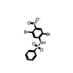 O=[N+]([O-])c1cc(Br)c(NS(=O)(=O)c2ccccc2)cc1Br